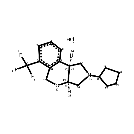 Cl.FC(F)(F)c1cccc2c1CO[C@@H]1CN(C3CCCC3)C[C@H]21